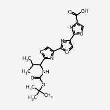 CC(C)C(NC(=O)OC(C)(C)C)c1nc(-c2nc(-c3nc(C(=O)O)co3)co2)co1